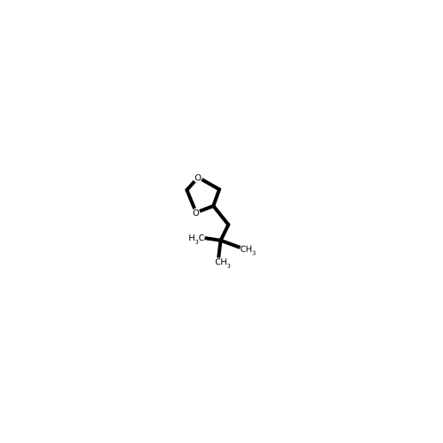 CC(C)(C)CC1COCO1